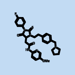 COc1ccc(NC(=O)CC2C(=O)N(c3ccc(F)cc3)C(=S)N2CCc2ccc(CN3CCCC3)cc2)nc1